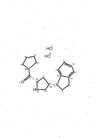 Cl.Cl.O=C([C@@H]1C[C@H](N2CCc3ccccc32)CN1)N1CCCC1